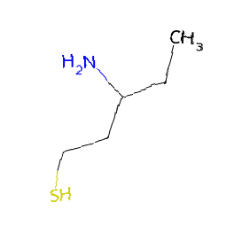 CCC(N)CCS